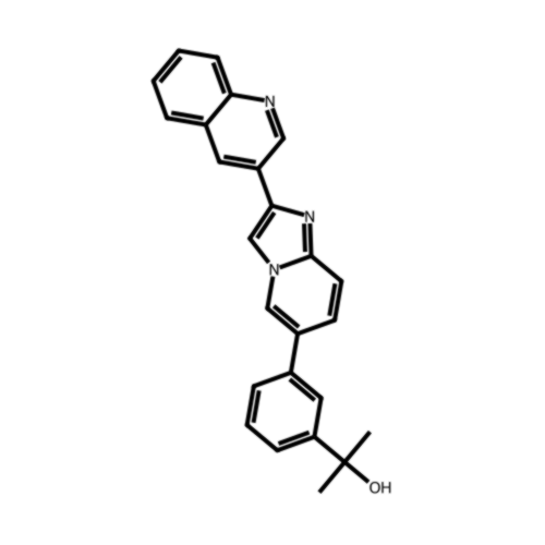 CC(C)(O)c1cccc(-c2ccc3nc(-c4cnc5ccccc5c4)cn3c2)c1